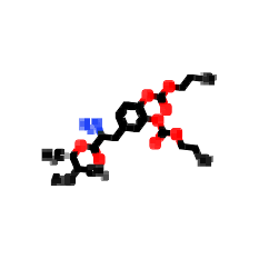 CC(=O)OC(C)[C@H](C)OC(=O)[C@@H](N)Cc1ccc(OC(=O)OCCC(C)C)c(OC(=O)OCCC(C)C)c1